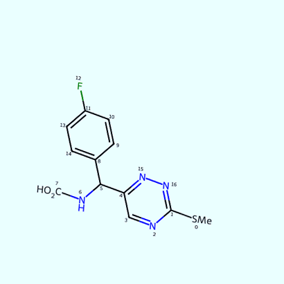 CSc1ncc(C(NC(=O)O)c2ccc(F)cc2)nn1